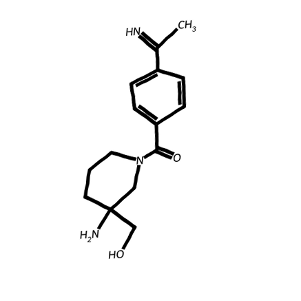 CC(=N)c1ccc(C(=O)N2CCCC(N)(CO)C2)cc1